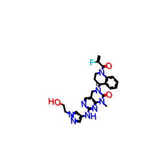 C=C(F)C(=O)N1CC[C@H](N2Cc3cnc(Nc4cnn(CCO)c4)nc3N(C)C2=O)c2ccccc21